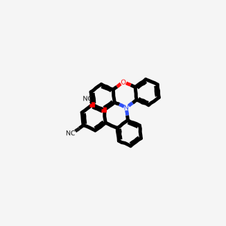 N#Cc1cc(C#N)cc(-c2ccccc2N2c3ccccc3Oc3ccccc32)c1